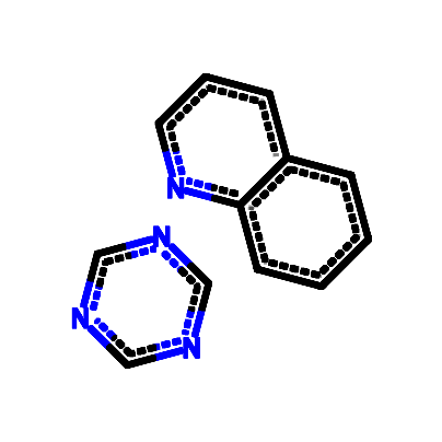 c1ccc2ncccc2c1.c1ncncn1